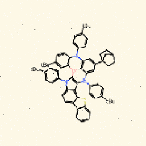 CC(C)(C)c1ccc(N2c3ccc(C(C)(C)C)cc3B3c4c2cc(C25CCC(CC2)C5)cc4N(c2ccc(C(C)(C)C)cc2)c2c3n(-c3ccc(C(C)(C)C)cc3)c3ccc4c5ccccc5sc4c23)cc1